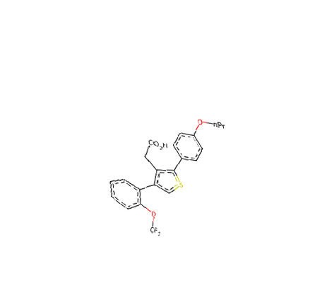 CCCOc1ccc(-c2scc(-c3ccccc3OC(F)(F)F)c2CC(=O)O)cc1